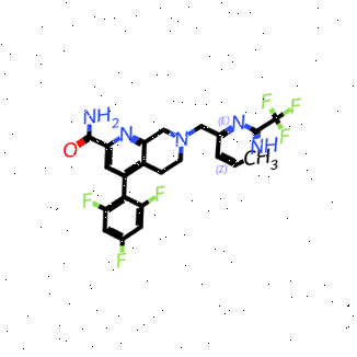 C/C=C\C(CN1CCc2c(-c3c(F)cc(F)cc3F)cc(C(N)=O)nc2C1)=N/C(=N)C(F)(F)F